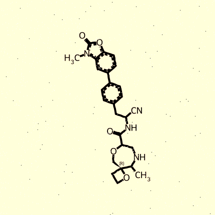 CC1NCC(C(=O)NC(C#N)Cc2ccc(-c3ccc4oc(=O)n(C)c4c3)cc2)OC[C@@]12CCO2